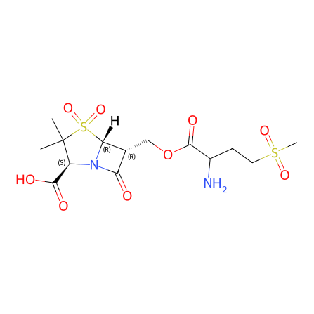 CC1(C)[C@H](C(=O)O)N2C(=O)[C@@H](COC(=O)C(N)CCS(C)(=O)=O)[C@H]2S1(=O)=O